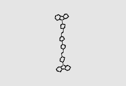 C(=C\c1ccc(-n2c3ccccc3c3ccccc32)cc1)/c1ccc(-c2ccc(/C=C/c3ccc(-n4c5ccccc5c5ccccc54)cc3)cc2)cc1